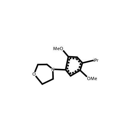 COc1cc(N2CCOCC2)c(OC)cc1C(C)C